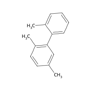 Cc1ccc(C)c(-c2ccccc2C)c1